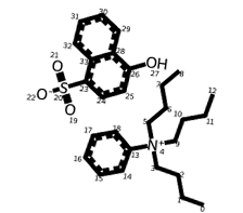 CCCC[N+](CCCC)(CCCC)c1ccccc1.O=S(=O)([O-])c1ccc(O)c2ccccc12